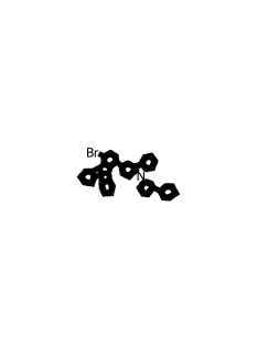 Brc1ccc(-c2ccc3c(c2)c2ccccc2n3-c2cccc(-c3ccccc3)c2)c2c1C1c3ccccc3C13c1ccccc1C23